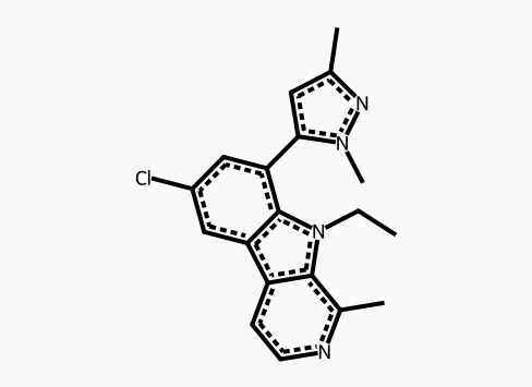 CCn1c2c(-c3cc(C)nn3C)cc(Cl)cc2c2ccnc(C)c21